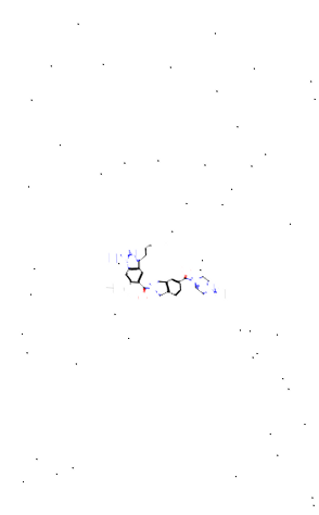 Cc1cc2[nH]nc(CCC(C)C)c2cc1C(=O)N1Cc2ccc(C(=O)N3CCN(C)CC3)cc2C1